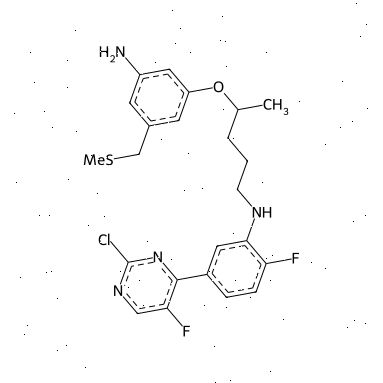 CSCc1cc(N)cc(OC(C)CCCNc2cc(-c3nc(Cl)ncc3F)ccc2F)c1